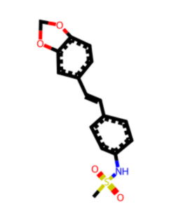 CS(=O)(=O)Nc1ccc(/C=C/c2ccc3c(c2)OCO3)cc1